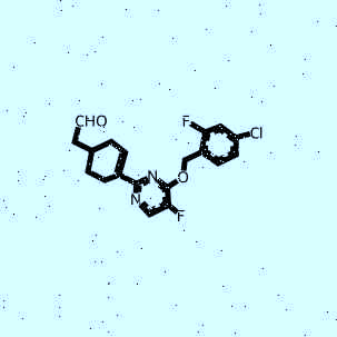 O=CCC1CC=C(c2ncc(F)c(OCc3ccc(Cl)cc3F)n2)CC1